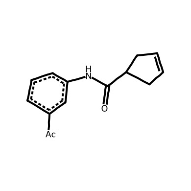 CC(=O)c1cccc(NC(=O)C2CC=CC2)c1